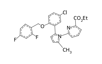 CCOC(=O)c1cccc(-n2c(C)ccc2-c2cc(Cl)ccc2OCc2ccc(F)cc2F)n1